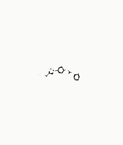 Cc1ccccc1NC(=O)Nc1ccc(-n2cc(C(C)O)nn2)cc1